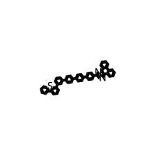 c1cc(-c2ccc(-c3ccc(-c4ccc(-c5cnc6c7ccccc7c7ccccc7c6n5)cc4)cc3)cc2)cc(-c2cccc3c2sc2ccccc23)c1